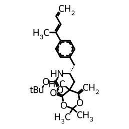 C=C/C=C(\C)c1ccc(C[C@H](CC2(C)C(=C)OC(C)(C)OC2=O)NC(=O)OC(C)(C)C)cc1